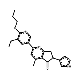 CCCOc1ncc(-c2cc(C)c3c(n2)CN(c2cn[nH]c2)C3=O)cc1OC